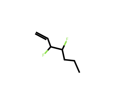 C=CC(F)C(F)CCC